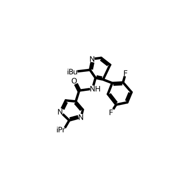 CCC(C)c1nccc(-c2cc(F)ccc2F)c1NC(=O)c1cnc(C(C)C)nc1